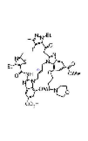 CCc1nc(C)sc1C(=O)Nc1nc2cc(C(=O)O)cc(OC)c2n1C/C=C/Cn1c(CC(=O)c2c(F)c(C)nn2CC)nc2cc(C(=O)OC)cc(OCCCN3CCOCC3)c21